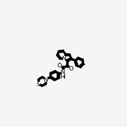 O=C(Nc1ccc(N2CCSCC2)cc1)C(=O)c1c(-c2ccccc2)cc2ccccn12